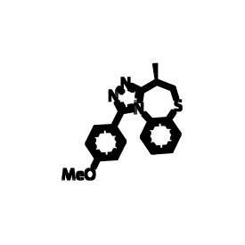 COc1ccc(-c2nnc3n2-c2ccccc2SC[C@@H]3C)cc1